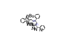 CCCCN1C(=C/C=C(/C=C2\C(=N)N(C)N=C2c2ccccn2)c2ccccc2)N(CCCC)c2ccccc21